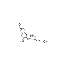 COc1cc2c(cc1OC(N)CCCCCO)CCN(C=O)C2